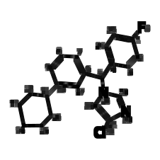 Fc1ccc(C(c2cccc(C3CCCCC3)c2)n2cnc(Cl)c2)cc1